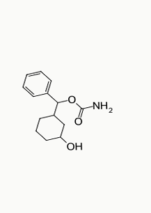 NC(=O)OC(c1ccccc1)C1CCCC(O)C1